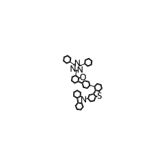 c1ccc(-c2nc(-c3ccccc3)nc(-c3cccc4c3oc3cc(-c5cccc6sc7ccc(-n8c9ccccc9c9ccccc98)cc7c56)ccc34)n2)cc1